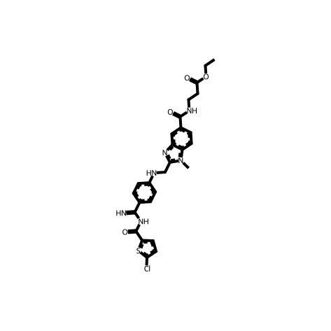 CCOC(=O)CCNC(=O)c1ccc2c(c1)nc(CNc1ccc(C(=N)NC(=O)c3ccc(Cl)s3)cc1)n2C